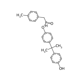 Cc1ccc(C[PH](=O)Oc2ccc(C(C)(C)c3ccc(O)cc3)cc2)cc1